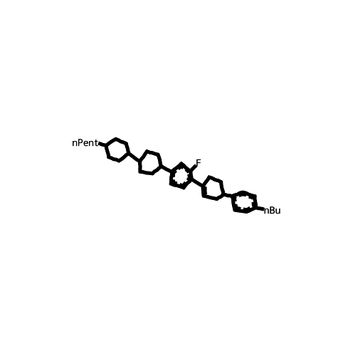 CCCCCC1CCC(C2CCC(c3ccc(C4=CCC(c5ccc(CCCC)cc5)CC4)c(F)c3)CC2)CC1